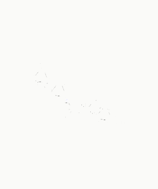 COc1ccc(NC(=O)N2CC/C(=C\c3cccc(Oc4ccc(Cl)cn4)c3)C(C)C2)nn1